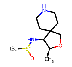 C[C@@H]1OCC2(CCNCC2)[C@@H]1N[S@@+]([O-])C(C)(C)C